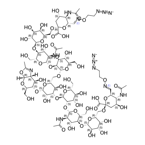 CC(=O)N[C@H]1[C@H](O[C@@H]2[C@@H](OC[C@H]3O[C@@H](O[C@H]4[C@H](O)[C@H]5N=C(C)O[C@H]5O[C@@H]4CO)[C@@H](O)[C@@H](O[C@H]4O[C@H](CO)[C@@H](O)[C@H](O)[C@@H]4O[C@@H]4O[C@H](CO)[C@@H](O[C@@H]5O[C@H](CO[C@]6(C(=O)O)C[C@H](O)[C@@H](NC(C)=O)[C@H](/C=N/OCCN=[N+]=[N-])O6)[C@H](O)[C@H](O)[C@H]5O)[C@H](O)[C@H]4NC(C)=O)[C@@H]3O)O[C@H](CO)[C@@H](O)[C@@H]2O)O[C@H](CO)[C@@H](O[C@@H]2O[C@H](CO[C@]3(C(=O)O)C[C@H](O)[C@@H](NC(C)=O)[C@H](/C=N/OCCN=[N+]=[N-])O3)[C@H](O)[C@H](O)[C@H]2O)[C@@H]1O